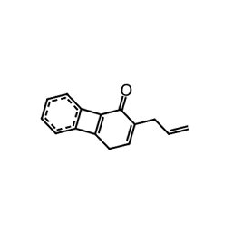 C=CCC1=CCC2=C(C1=O)c1ccccc12